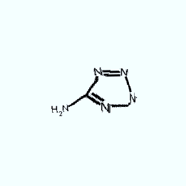 NC1=N[N]N=N1